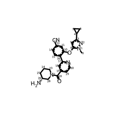 Cn1nc(C2CC2)cc1Oc1cc(C#N)ccc1-c1cc(C(=O)N2CCC[C@@H](N)C2)ccn1